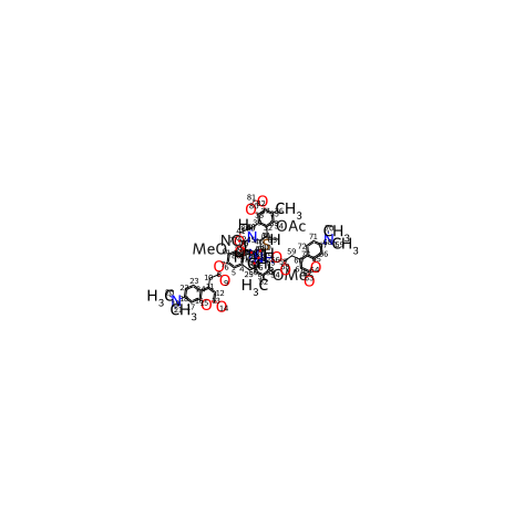 COc1cc2c(cc1OC(=O)Cc1cc(=O)oc3cc(N(C)C)ccc13)CCN[C@]21CS[C@@H]2c3c(OC(C)=O)c(C)c4c(c3[C@H](COC1=O)N1C2[C@@H]2c3c(cc(C)c(OC)c3OC(=O)Cc3cc(=O)oc5cc(N(C)C)ccc35)C[C@H]([C@@H]1C#N)N2C)OCO4